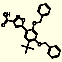 CC(C)(C)c1cc(-c2cc(C(=O)O)no2)c(OCc2ccccc2)cc1OCc1ccccc1